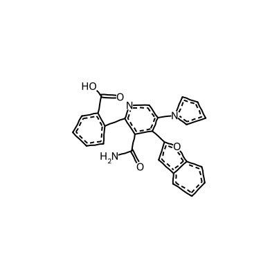 NC(=O)c1c(-c2ccccc2C(=O)O)ncc(-n2cccc2)c1-c1cc2ccccc2o1